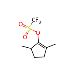 CC1=C(OS(=O)(=O)C(F)(F)F)C(C)CC1